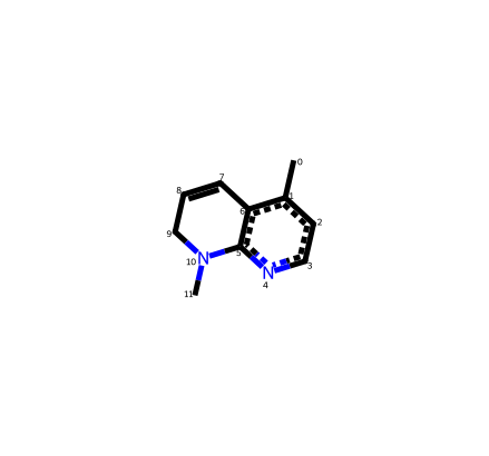 Cc1ccnc2c1C=CCN2C